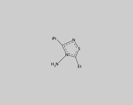 CCc1snc(C(C)C)[n+]1N